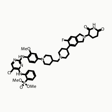 COc1cc(N2CCC(CN3CCC(c4cc5c(cc4F)CN(C4CCC(=O)NC4=O)C5)CC3)CC2)ccc1Nc1ncc(Cl)c(Nc2ccccc2P(=O)(OC)OC)n1